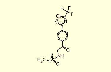 CCS(=O)(=O)NCC(=O)c1ccc(-c2noc(C(F)(F)F)n2)cc1